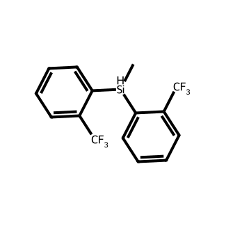 C[SiH](c1ccccc1C(F)(F)F)c1ccccc1C(F)(F)F